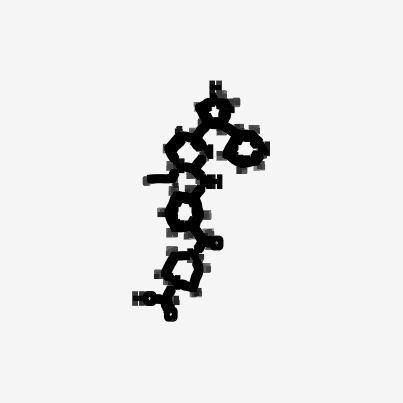 CCN1C=CC(c2c[nH]nc2-c2cccnc2)=NC1Nc1cccc(C(=O)N2CCN(C(=O)O)CC2)c1